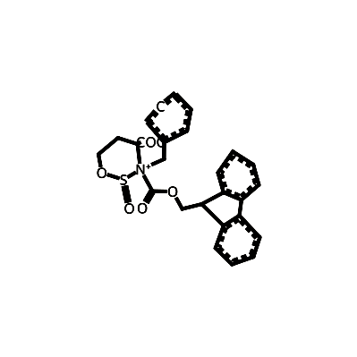 O=C([O-])C1CCOS(=O)[N+]1(Cc1ccccc1)C(=O)OCC1c2ccccc2-c2ccccc21